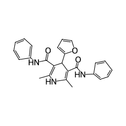 CC1=C(C(=O)Nc2ccccc2)C(c2ccco2)C(C(=O)Nc2ccccc2)=C(C)N1